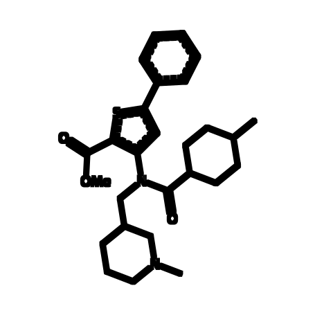 COC(=O)c1sc(-c2ccccc2)cc1N(CC1CCCN(C)C1)C(=O)C1CCC(C)CC1